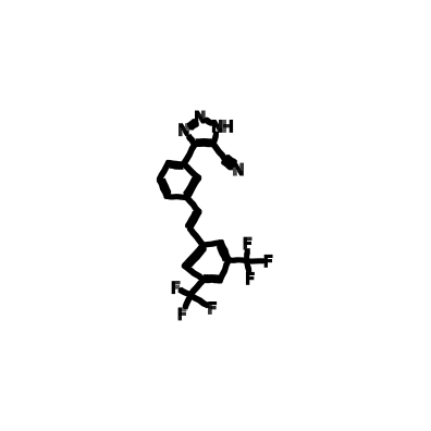 N#Cc1[nH]nnc1-c1cccc(C=Cc2cc(C(F)(F)F)cc(C(F)(F)F)c2)c1